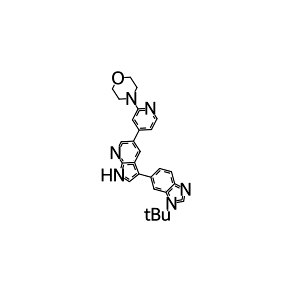 CC(C)(C)n1cnc2ccc(-c3c[nH]c4ncc(-c5ccnc(N6CCOCC6)c5)cc34)cc21